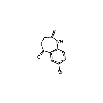 C=C1CCC(=O)c2cc(Br)ccc2N1